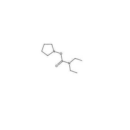 CCN(CC)C(=O)ON1CCCC1